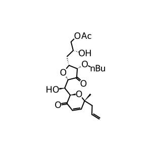 C=CC[C@]1(C)C=CC(=O)[C@@H]([C@@H](O)[C@@H]2O[C@H](C[C@@H](O)COC(C)=O)[C@H](OCCCC)C2=O)O1